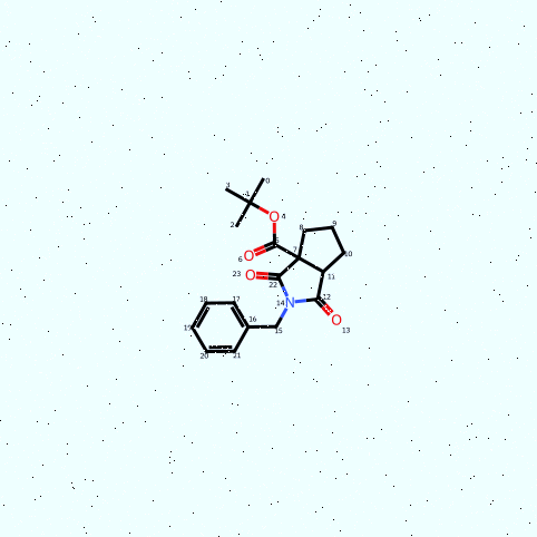 CC(C)(C)OC(=O)C12CCCC1C(=O)N(Cc1ccccc1)C2=O